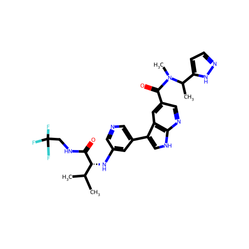 CC(C)[C@@H](Nc1cncc(-c2c[nH]c3ncc(C(=O)N(C)C(C)c4ccn[nH]4)cc23)c1)C(=O)NCC(F)(F)F